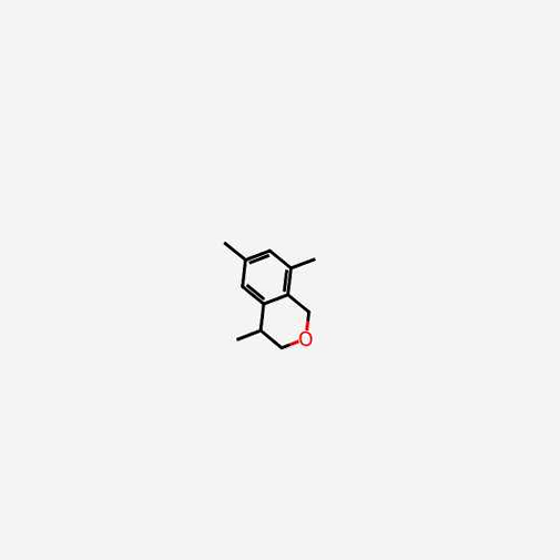 Cc1cc(C)c2c(c1)C(C)COC2